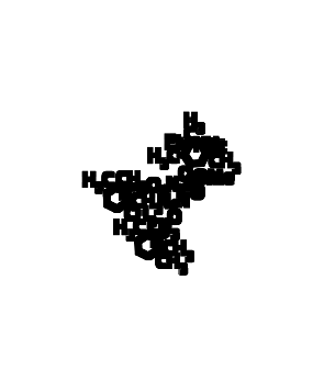 CCC1(C)CC(OP(=O)(OC)c2nc(OCCN3C(C)(C)CCCC3(C)C)nc(OCCN3C(C)(C)CCCC3(C)C)n2)C(C)C(C)(CC)N1